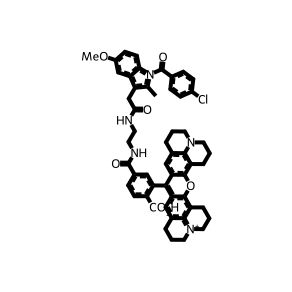 COc1ccc2c(c1)c(CC(=O)NCCNC(=O)c1ccc(C(=O)O)c(C3=c4cc5c6c(c4Oc4c3cc3c7c4CCCN7CCC3)CCC[N+]=6CCC5)c1)c(C)n2C(=O)c1ccc(Cl)cc1